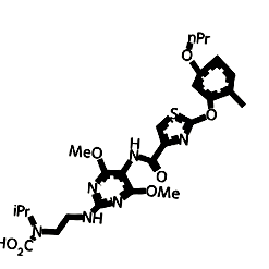 CCCOc1ccc(C)c(Oc2nc(C(=O)Nc3c(OC)nc(NCCN(C(=O)O)C(C)C)nc3OC)cs2)c1